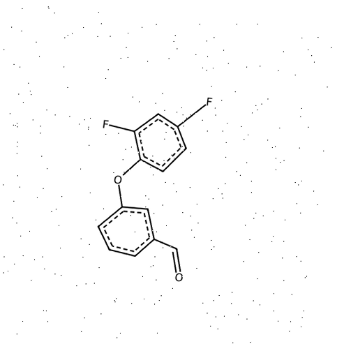 O=Cc1cccc(Oc2ccc(F)cc2F)c1